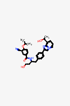 CC(C)Oc1ccc(C(=O)NC(CCO)Cc2ccc(-c3cn4cccc(C(C)O)c4n3)cc2)cc1C#N